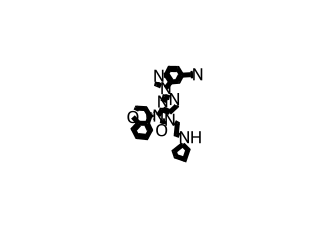 N#Cc1ccc2ncn(-c3ncc4c(n3)n([C@@H]3CCOc5ccccc53)c(=O)n4CCNC3CCCC3)c2c1